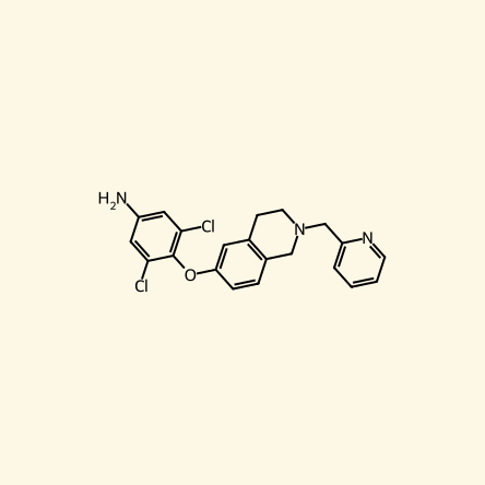 Nc1cc(Cl)c(Oc2ccc3c(c2)CCN(Cc2ccccn2)C3)c(Cl)c1